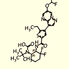 CCc1sc(C(=O)N[C@@H]2[C@H](N(C(=O)O)C(C)(C)C)CCCC2(F)F)cc1-c1cnn2cc(OC(F)F)cnc12